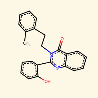 Cc1ccccc1CCn1c(-c2ccccc2O)nc2ccccc2c1=O